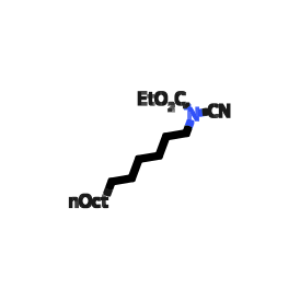 CCCCCCCCCCCCCCN(C#N)C(=O)OCC